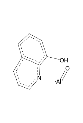 Oc1cccc2cccnc12.[O]=[Al]